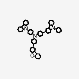 C1=CC2Oc3ccc(-c4ccc(N(c5ccc(-c6ccc7c(c6)c6ccccc6n7-c6ccccc6)cc5)c5ccc(-n6c7ccccc7c7ccccc76)cc5)cc4)cc3C2C=C1